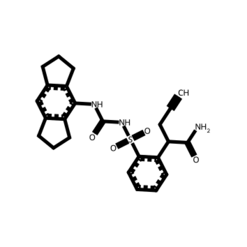 C#CCC(C(N)=O)c1ccccc1S(=O)(=O)NC(=O)Nc1c2c(cc3c1CCC3)CCC2